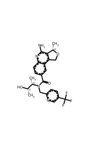 C[C@@H]1OCc2c1c(N)nc1ccc(C(=O)N(Cc3ccc(C(F)(F)F)cn3)[C@@H](C)[C@H](C)O)cc21